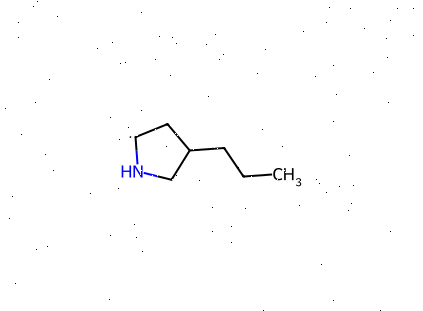 CCCC1C[CH]NC1